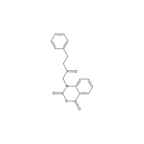 O=C(CCc1ccccc1)Cn1c(=O)oc(=O)c2ccccc21